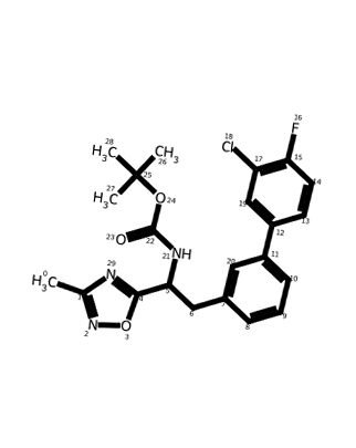 Cc1noc(C(Cc2cccc(-c3ccc(F)c(Cl)c3)c2)NC(=O)OC(C)(C)C)n1